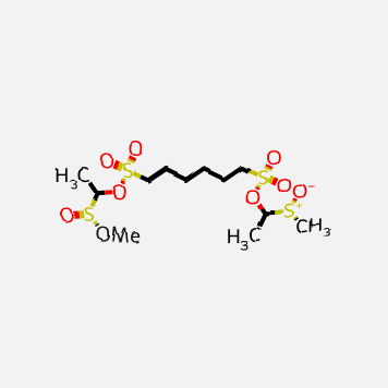 COS(=O)C(C)OS(=O)(=O)CCCCCCS(=O)(=O)OC(C)[S+](C)[O-]